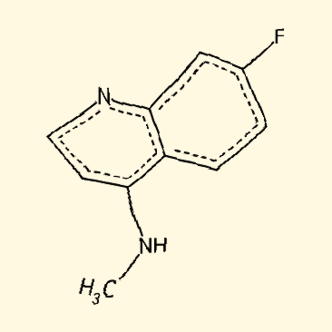 CNc1ccnc2cc(F)ccc12